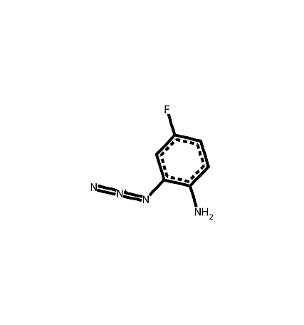 [N-]=[N+]=Nc1cc(F)ccc1N